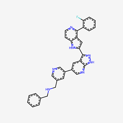 Fc1ccccc1-c1nccc2[nH]c(-c3n[nH]c4ncc(-c5cncc(CNCc6ccccc6)c5)cc34)cc12